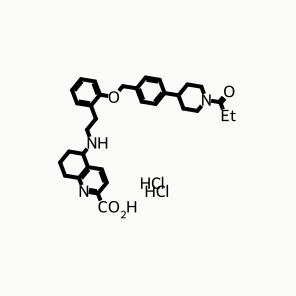 CCC(=O)N1CCC(c2ccc(COc3ccccc3CCNC3CCCc4nc(C(=O)O)ccc43)cc2)CC1.Cl.Cl